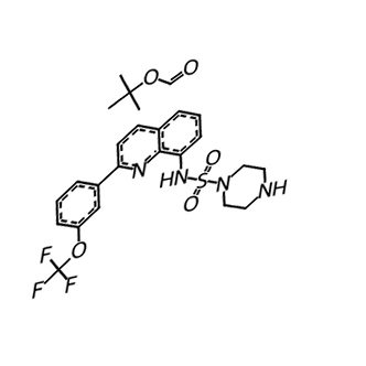 CC(C)(C)OC=O.O=S(=O)(Nc1cccc2ccc(-c3cccc(OC(F)(F)F)c3)nc12)N1CCNCC1